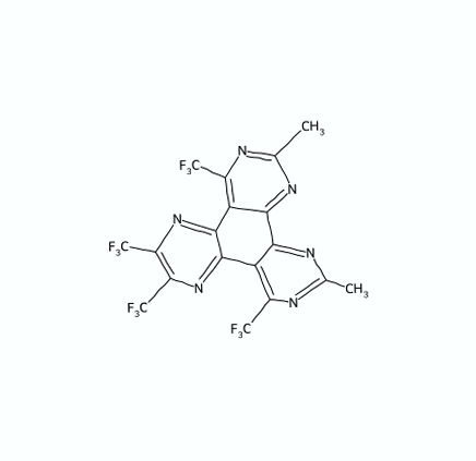 Cc1nc(C(F)(F)F)c2c(n1)c1nc(C)nc(C(F)(F)F)c1c1nc(C(F)(F)F)c(C(F)(F)F)nc12